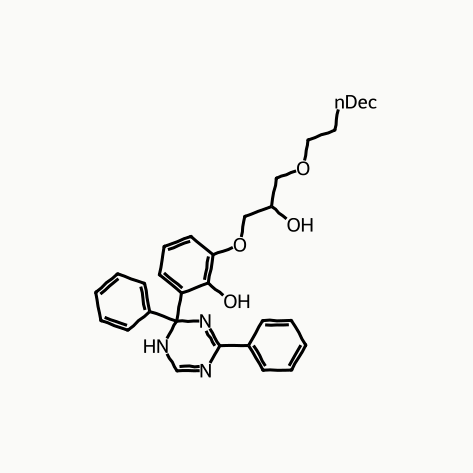 CCCCCCCCCCCCOCC(O)COc1cccc(C2(c3ccccc3)N=C(c3ccccc3)N=CN2)c1O